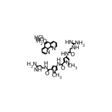 Cl.Cl.Cn1cc(NC(=O)c2cc(NC(=O)CNC(=N)N)cn2C)cc1C(=O)NCCC(=N)N.O.c1cnc2c(c1)ccc1cccnc12